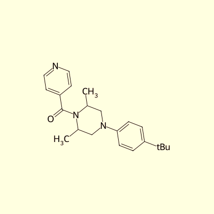 CC1CN(c2ccc(C(C)(C)C)cc2)CC(C)N1C(=O)c1ccncc1